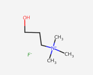 C[N+](C)(C)CCCO.[F-]